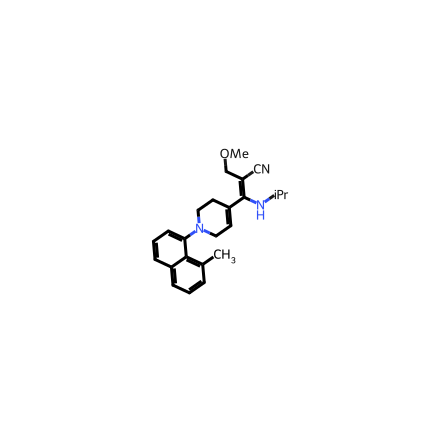 COC/C(C#N)=C(/NC(C)C)C1=CCN(c2cccc3cccc(C)c23)CC1